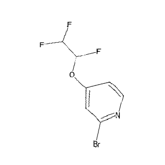 FC(F)C(F)Oc1ccnc(Br)c1